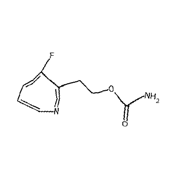 NC(=O)OCCc1ncccc1F